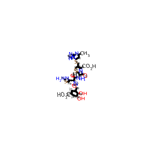 Cc1cc(SCC2=C(C(=O)O)N3C(=O)[C@@H](NC(=O)C(=NOCc4cc(C(=O)O)cc(O)c4O)c4csc(N)n4)[C@H]3SC2)n2ncnc2n1